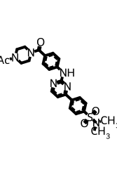 CC(=O)N1CCN(C(=O)c2ccc(Nc3nccc(-c4ccc(S(=O)(=O)N(C)C)cc4)n3)cc2)CC1